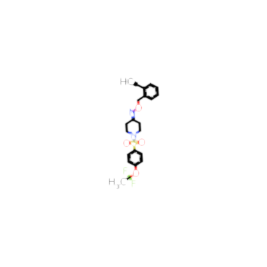 C#Cc1ccccc1CON=C1CCN(S(=O)(=O)c2ccc(OC(C)(F)F)cc2)CC1